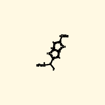 CC[CH]CCC(C)c1cc2sc(OC)cc2s1